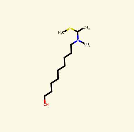 CSC(C)N(C)CCCCCCCCCO